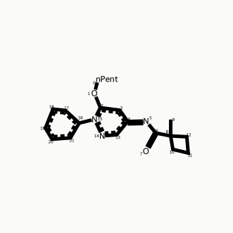 CCCCCOc1cc(=NC(=O)C2(C)CCC2)cnn1-c1ccccc1